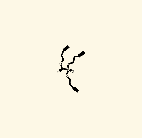 C#CCCOC(=O)P(=O)(OCCC#C)OCCC#C